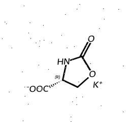 O=C1N[C@@H](C(=O)[O-])CO1.[K+]